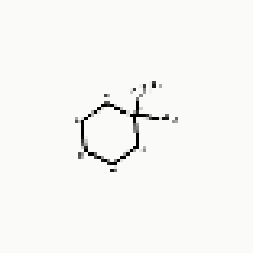 CCCC1([P])CCCCC1